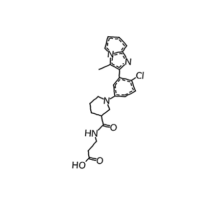 Cc1c(-c2cc(N3CCCC(C(=O)NCCC(=O)O)C3)ccc2Cl)nc2ccccn12